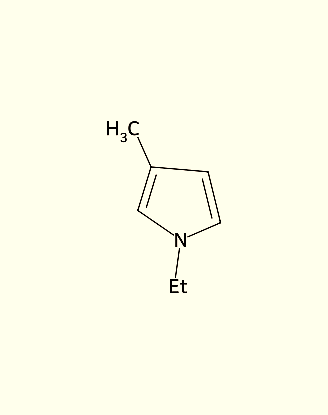 CCn1ccc(C)c1